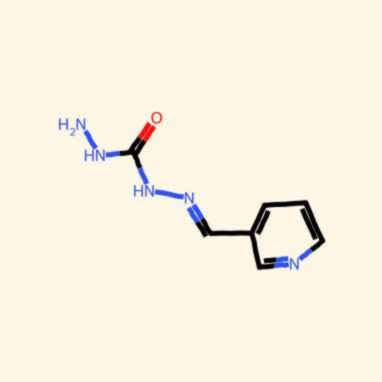 NNC(=O)NN=Cc1cccnc1